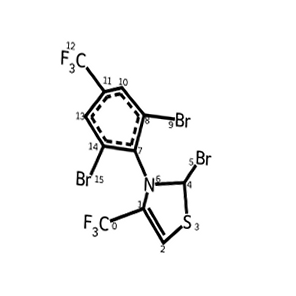 FC(F)(F)C1=CSC(Br)N1c1c(Br)cc(C(F)(F)F)cc1Br